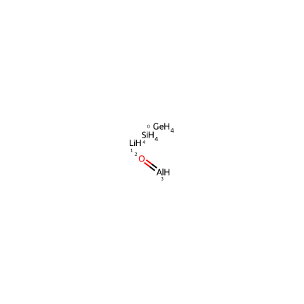 [GeH4].[LiH].[O]=[AlH].[SiH4]